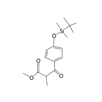 COC(=O)C(C)C(=O)c1ccc(O[Si](C)(C)C(C)(C)C)cc1